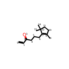 C=CC(=O)CCCC1=C(C)CCC1(C)C